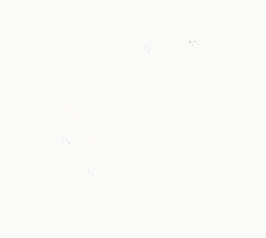 COc1ccccc1-c1ncc(F)c2cc(S(=O)(=O)Nc3nccs3)ccc12